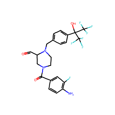 Nc1ccc(C(=O)N2CCN(Cc3ccc(C(O)(C(F)(F)F)C(F)(F)F)cc3)C(C=O)C2)cc1F